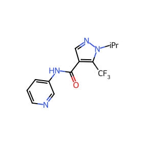 CC(C)n1ncc(C(=O)Nc2cccnc2)c1C(F)(F)F